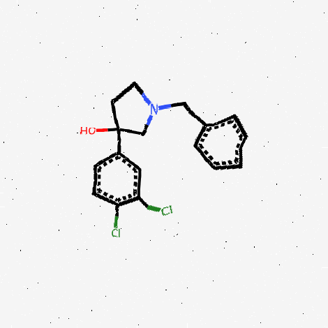 OC1(c2ccc(Cl)c(Cl)c2)CCN(Cc2ccccc2)C1